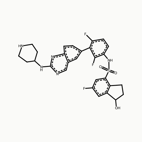 O=S(=O)(Nc1ccc(F)c(-c2ccc3nc(NC4CCNCC4)ncc3c2)c1F)c1cc(F)cc2c1CCC2O